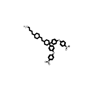 CCCCCC1CCC(CCC2CCC(c3ccc(Oc4ccc([N+](=O)[O-])cc4)cc3)(c3ccc(Oc4ccc([N+](=O)[O-])cc4)cc3)CC2)CC1